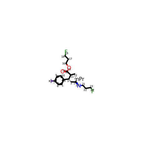 CCC/C(C[C@H](c1ccc(I)cc1)C(C)C(=O)OCCCF)=N\CCCF